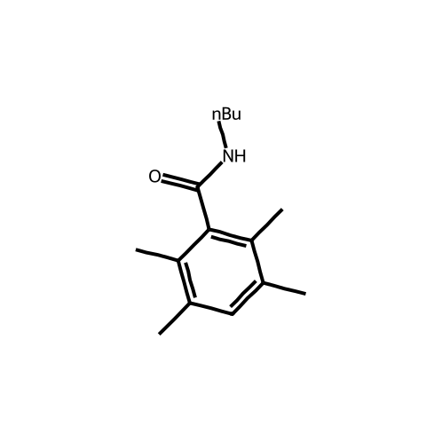 CCCCNC(=O)c1c(C)c(C)cc(C)c1C